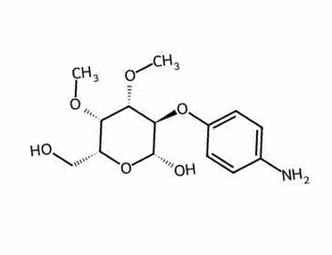 CO[C@@H]1[C@@H](Oc2ccc(N)cc2)[C@H](O)O[C@H](CO)[C@@H]1OC